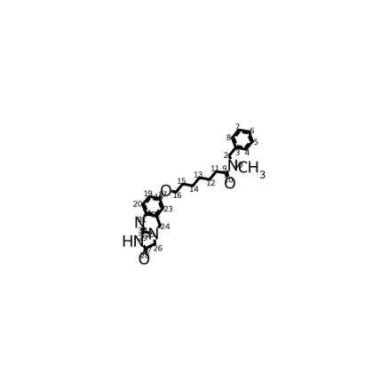 CN(Cc1ccccc1)C(=O)CCCCCCOc1ccc2c(c1)CN1CC(=O)NC1=N2